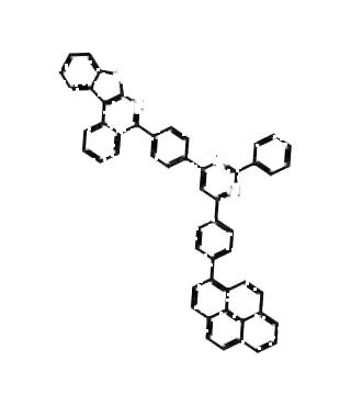 c1ccc(-c2nc(-c3ccc(-c4nc5sc6ccccc6c5c5ccccc45)cc3)cc(-c3ccc(-c4ccc5ccc6cccc7ccc4c5c67)cc3)n2)cc1